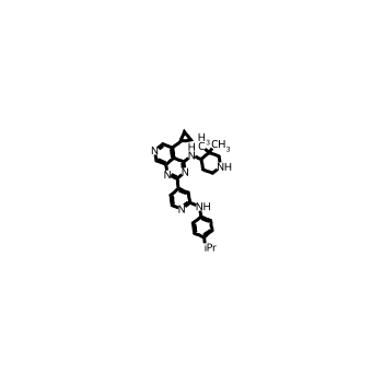 CC(C)c1ccc(Nc2cc(-c3nc(NC4CCNCC4(C)C)c4c(C5CC5)cncc4n3)ccn2)cc1